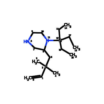 C=C[Si](C)(C)CC1CNCCN1[Si](CC)(CC)CC